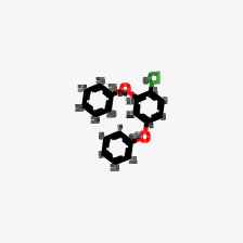 Clc1ccc(Oc2ccccc2)cc1Oc1ccccc1